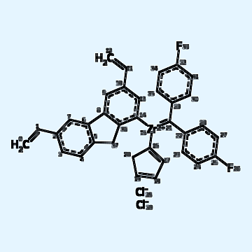 C=Cc1ccc2c(c1)-c1cc(C=C)c[c]([Zr+2]([C]3=CC=CC3)=[C](c3ccc(F)cc3)c3ccc(F)cc3)c1C2.[Cl-].[Cl-]